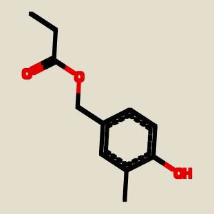 CCC(=O)OCc1ccc(O)c(C)c1